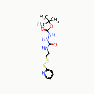 CC(C)(C)OC(=O)NNC(=O)NCCSSc1ccccn1